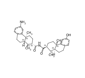 C[C@@H]1[C@@H](C(=O)NC(=O)[C@H]2CC[C@]3(C)c4cc(O)ccc4CC[C@H]3[C@@H]2C)CC[C@]2(C)c3cc(N)ccc3CC[C@@H]12